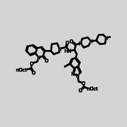 CCCCCCCCC(=O)OCn1cc2cc(CC(NC(=O)N3CCC(c4cc5ccccc5n(COC(=O)CCCCCCCC)c4=O)CC3)C(=O)N3CCN(C4CCN(C)CC4)CC3)cc(C)c2n1